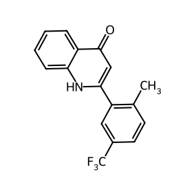 Cc1ccc(C(F)(F)F)cc1-c1cc(=O)c2ccccc2[nH]1